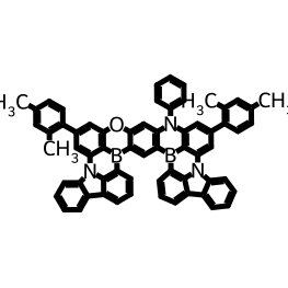 Cc1ccc(-c2cc3c4c(c2)-n2c5ccccc5c5cccc(c52)B4c2cc4c(cc2O3)N(c2ccccc2)c2cc(-c3ccc(C)cc3C)cc3c2B4c2cccc4c5ccccc5n-3c24)c(C)c1